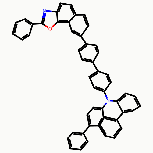 c1ccc(-c2ccc(N(c3ccc(-c4ccc(-c5ccc6ccc7nc(-c8ccccc8)oc7c6c5)cc4)cc3)c3ccccc3-c3ccccc3)cc2)cc1